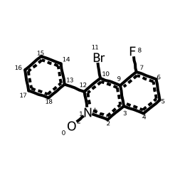 [O-][n+]1cc2cccc(F)c2c(Br)c1-c1ccccc1